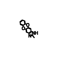 Cc1nc2cc3c(cc2[nH]1)Oc1ccccc1O3